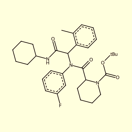 Cc1ccccc1C(C(=O)NC1CCCCC1)N(C(=O)C1CCCCN1C(=O)OC(C)(C)C)c1cccc(F)c1